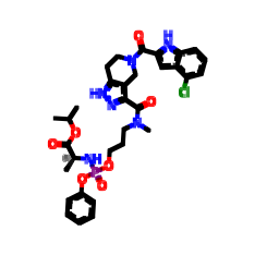 CC(C)OC(=O)[C@H](C)NP(=O)(OCCCN(C)C(=O)c1n[nH]c2c1CN(C(=O)c1cc3c(Cl)cccc3[nH]1)CC2)Oc1ccccc1